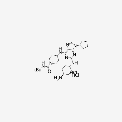 CC(C)(C)NC(=O)N1CCC(Nc2nc(N[C@H]3CC[C@H](N)CC3)nc3c2ncn3C2CCCC2)CC1.Cl.Cl